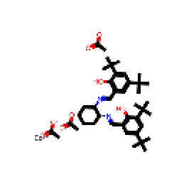 CC(=O)[O-].CC(=O)[O-].CC(=O)[O-].CC(C)(C)c1cc(C=N[C@@H]2CCCC[C@H]2N=Cc2cc(C(C)(C)C)cc(C(C)(C)C)c2O)c(O)c(C(C)(C)C)c1.[Co+3]